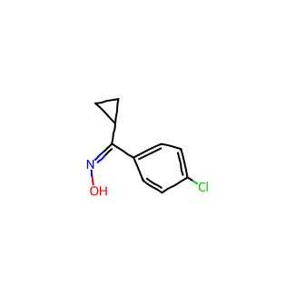 O/N=C(\c1ccc(Cl)cc1)C1CC1